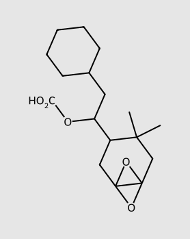 CC1(C)CC23OC2(CC1C(CC1CCCCC1)OC(=O)O)O3